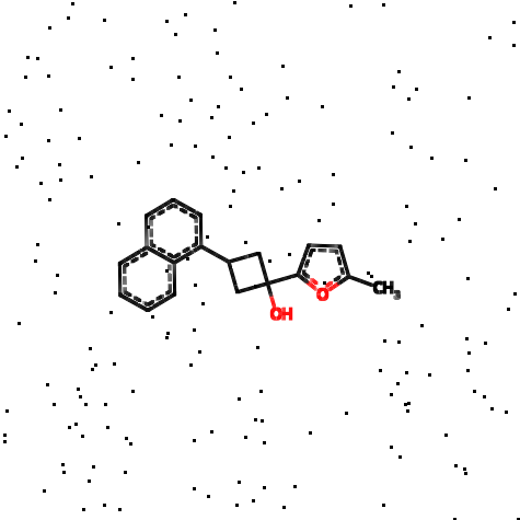 Cc1ccc(C2(O)CC(c3cccc4ccccc34)C2)o1